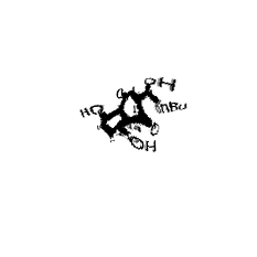 CCCCC(O)C1=CC(=O)c2c(O)ccc(O)c2C1=O